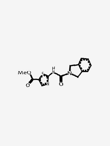 COC(=O)c1cnc(NC(=O)N2Cc3ccccc3C2)s1